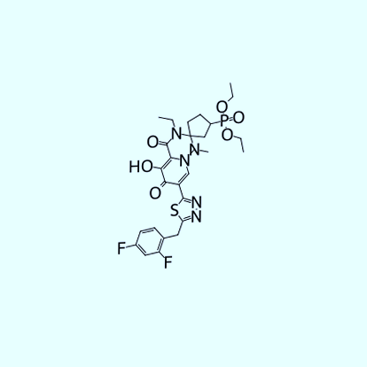 CCOP(=O)(OCC)C1CCC2(C1)N(CC)C(=O)c1c(O)c(=O)c(-c3nnc(Cc4ccc(F)cc4F)s3)cn1N2C